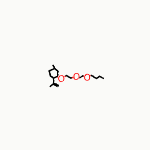 C=C(C)C1CCC(C)CC1OCCOCCOCCCC